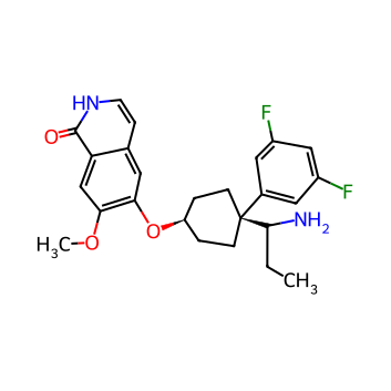 CCC(N)[C@]1(c2cc(F)cc(F)c2)CC[C@H](Oc2cc3cc[nH]c(=O)c3cc2OC)CC1